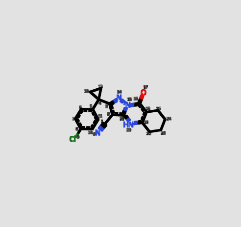 N#Cc1c(C2(c3ccc(Cl)cc3)CC2)nn2c(=O)c3c([nH]c12)CCCC3